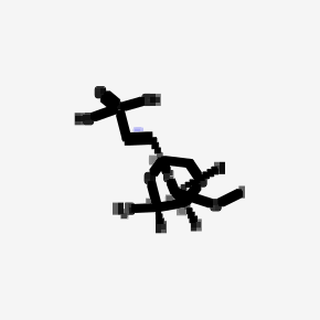 B[C@H]1O[C@@]2(/C=C/P(=O)(O)O)CO[C@@H]1[C@H](OI)C2